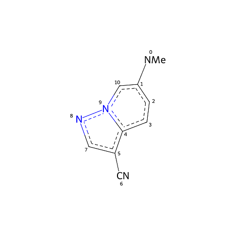 CNc1ccc2c(C#N)cnn2c1